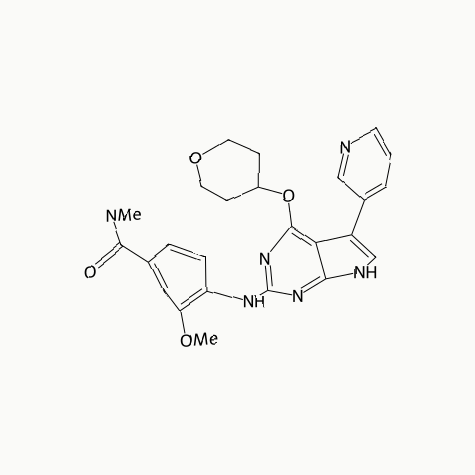 CNC(=O)c1ccc(Nc2nc(OC3CCOCC3)c3c(-c4cccnc4)c[nH]c3n2)c(OC)c1